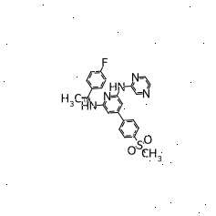 C[C@H](Nc1cc(-c2ccc(S(C)(=O)=O)cc2)cc(Nc2cnccn2)n1)c1ccc(F)cc1